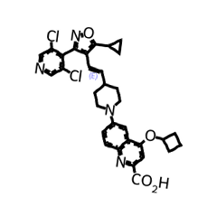 O=C(O)c1cc(OC2CCC2)c2cc(N3CCC(/C=C/c4c(-c5c(Cl)cncc5Cl)noc4C4CC4)CC3)ccc2n1